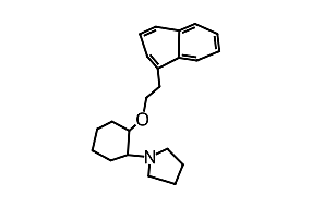 c1ccc2c(CCOC3CCCCC3N3CCCC3)cccc2c1